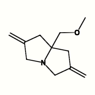 C=C1CN2CC(=C)CC2(COC)C1